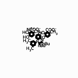 CCCCC(=Nc1ccccc1)C(CCCC)=Nc1cc(C)cc(C)c1.Cc1ccc(O)c(O)c1C(=O)[O-].Cc1ccc(O)c(O)c1C(=O)[O-].[Ni+2]